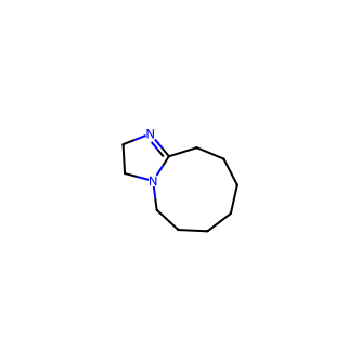 C1CCCC2=NCCN2CCC1